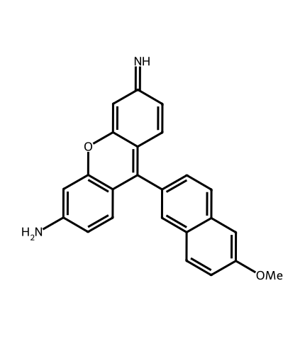 COc1ccc2cc(-c3c4ccc(=N)cc-4oc4cc(N)ccc34)ccc2c1